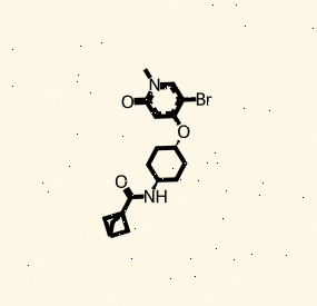 Cn1cc(Br)c(O[C@H]2CC[C@H](NC(=O)C34CC(C3)C4)CC2)cc1=O